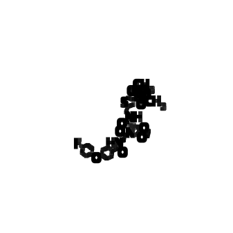 CS(=O)(=O)N(c1csc(CNC(=O)[C@@H]2CC3(CN2C(=O)CNC(=O)c2ccc(Oc4ccc(F)cc4)cc2)OCCO3)c1)S(C)(=O)=O